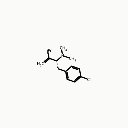 C=C(C(C)C)[C@@H](Cc1ccc(Cl)cc1)N(C)C